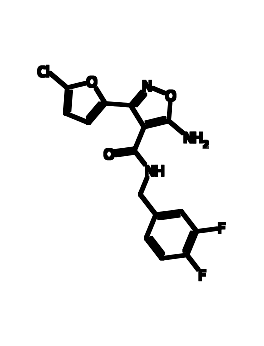 Nc1onc(-c2ccc(Cl)o2)c1C(=O)NCc1ccc(F)c(F)c1